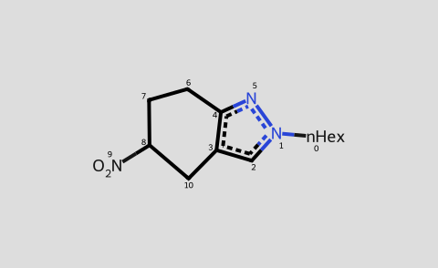 CCCCCCn1cc2c(n1)CCC([N+](=O)[O-])C2